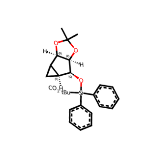 CC1(C)O[C@@H]2[C@H](O1)C1C[C@]1(C(=O)O)[C@@H]2O[Si](c1ccccc1)(c1ccccc1)C(C)(C)C